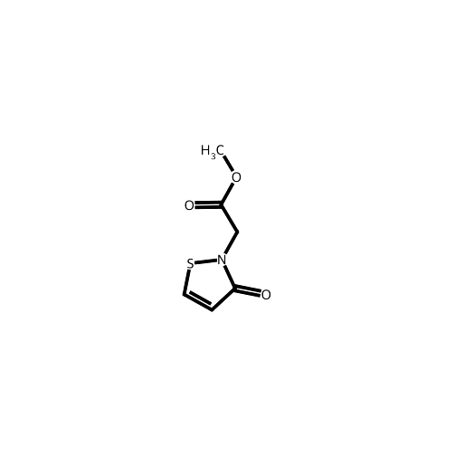 COC(=O)Cn1sccc1=O